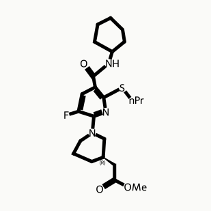 CCCSc1nc(N2CCC[C@H](CC(=O)OC)C2)c(F)cc1C(=O)NC1CCCCC1